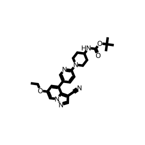 CCOc1cc(-c2ccc(N3CCC(NC(=O)OC(C)(C)C)CC3)nc2)c2c(C#N)cnn2c1